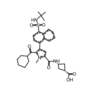 Cn1c(C(=O)N[C@H]2C[C@H](C(=O)O)C2)cc(-c2ccc(S(=O)(=O)NC(C)(C)C)c3ccccc23)c1C(=O)C1CCCCC1